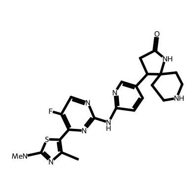 CNc1nc(C)c(-c2nc(Nc3ccc(C4CC(=O)NC45CCNCC5)cn3)ncc2F)s1